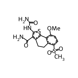 COc1ccc(S(C)(=O)=O)c2c1-c1sc(NC(N)=O)c(C(N)=O)c1CC2